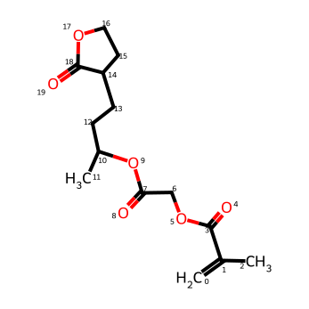 C=C(C)C(=O)OCC(=O)OC(C)CCC1CCOC1=O